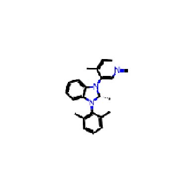 C=N/C=C(\C(C)=C/C)N1c2ccccc2N(c2c(C)cccc2C)[C@H]1C